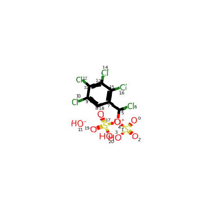 O=S(=O)(O)[O+](C(Cl)c1cc(Cl)c(Cl)c(Cl)c1Cl)S(=O)(=O)O.[OH-]